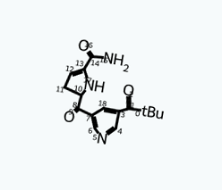 CC(C)(C)C(=O)c1cncc(C(=O)C2CC=C(C(N)=O)N2)c1